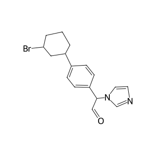 O=CC(c1ccc(C2CCCC(Br)C2)cc1)n1ccnc1